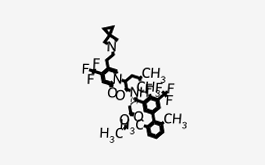 CCOC(=O)C[C@H](NC(=O)C(CC(C)C)n1cc(CCN2CC3(CC3)C2)c(C(F)(F)F)cc1=O)c1cc(-c2c(C)cccc2C)cc(C(F)(F)F)c1F